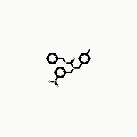 Cc1ccc(CN(Cc2cccc([N+](=O)[O-])c2)C(=O)OCc2ccccc2)cc1